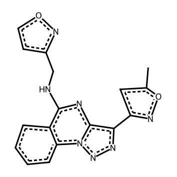 Cc1cc(-c2nnn3c2nc(NCc2ccon2)c2ccccc23)no1